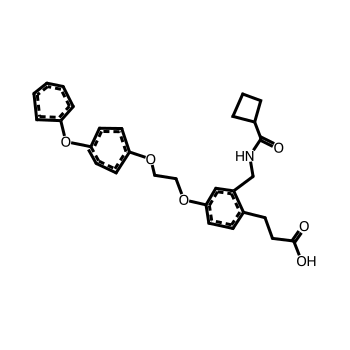 O=C(O)CCc1ccc(OCCOc2ccc(Oc3ccccc3)cc2)cc1CNC(=O)C1CCC1